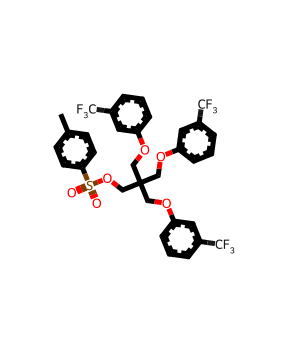 Cc1ccc(S(=O)(=O)OCC(COc2cccc(C(F)(F)F)c2)(COc2cccc(C(F)(F)F)c2)COc2cccc(C(F)(F)F)c2)cc1